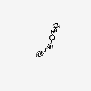 c1csc(N=Nc2ccc(CCNCC[N+]34CCN(CC3)CC4)cc2)n1